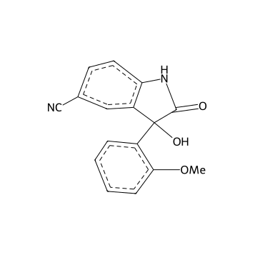 COc1ccccc1C1(O)C(=O)Nc2ccc(C#N)cc21